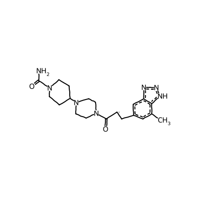 Cc1cc(C[CH]C(=O)N2CCN(C3CCN(C(N)=O)CC3)CC2)cc2nn[nH]c12